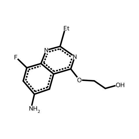 CCc1nc(OCCO)c2cc(N)cc(F)c2n1